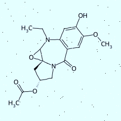 CCN1c2cc(O)c(OC)cc2C(=O)N2C[C@H](OC(C)=O)C[C@]23OC13